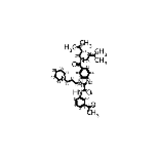 CC(=O)c1cccc(NC(=O)c2nc3ccc(C(=O)N(CCC(C)C)CCC(C)C)cc3n2CCCN2CCCCC2)c1